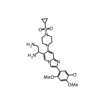 COc1cc(OC)c(-c2cn3cc(C(N)CN)c(N4CCN(S(=O)(=O)C5CC5)CC4)cc3n2)cc1Cl